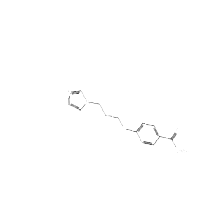 COC(=O)c1ccc(OCCCn2ccnc2)cc1